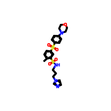 Cc1ccc(S(=O)(=O)c2ccc(N3CCOCC3)cc2)cc1S(=O)(=O)NCCCn1ccnc1